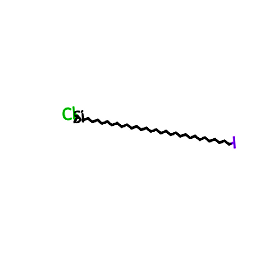 C[Si](C)(Cl)CCCCCCCCCCCCCCCCCCCCCCCCCCCCCCCI